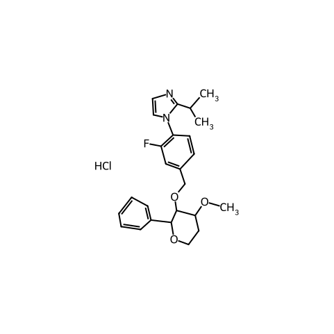 COC1CCOC(c2ccccc2)C1OCc1ccc(-n2ccnc2C(C)C)c(F)c1.Cl